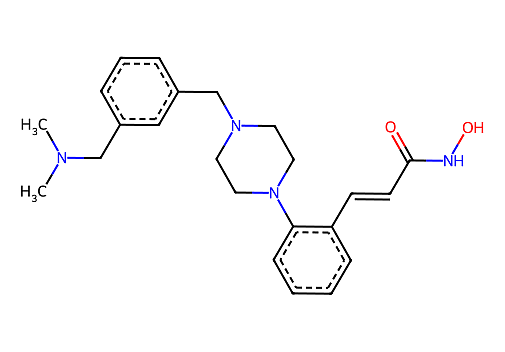 CN(C)Cc1cccc(CN2CCN(c3ccccc3C=CC(=O)NO)CC2)c1